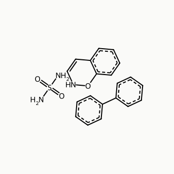 C1=Cc2ccccc2ON1.NS(N)(=O)=O.c1ccc(-c2ccccc2)cc1